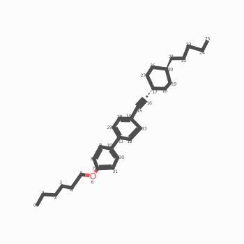 CCCCCCOc1ccc(-c2ccc(C#C[C@H]3CC[C@H](CCCCC)CC3)cc2)cc1